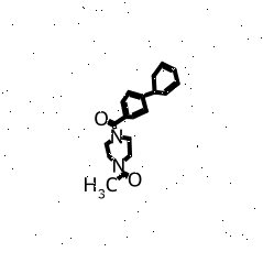 CC(=O)N1CCN(C(=O)c2ccc(C3C=CC=CC3)cc2)CC1